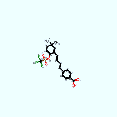 CC1(C)C=C(C=CCCc2ccc(C(=O)O)cc2)C(OS(=O)(=O)C(F)(F)F)=CC1